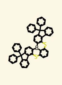 c1ccc(C2(c3ccccc3)c3ccccc3-c3c2ccc2c3Sc3cccc4c3B2c2ccc3c(c2S4)-c2ccccc2C3(c2ccccc2)c2ccccc2)cc1